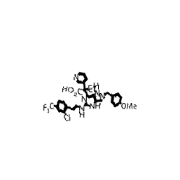 CCC(C(=O)O)(C1=C2NN(Cc3ccc(OC)cc3)C=C2NC(NCCc2ccc(C(F)(F)F)cc2Cl)=N1)c1cccnc1